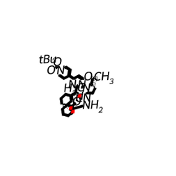 C[C@H](Oc1cc(C2=CCN(C(=O)OC(C)(C)C)CC2)nc(-c2noc3c2CCC[C@@]32CCCc3sc(N)c(C#N)c32)n1)[C@@H]1CCCN1C